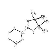 CC1(C)OB([C@H]2CCCNC2)OC1(C)C